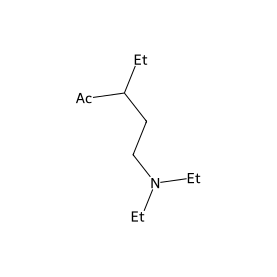 CCC(CCN(CC)CC)C(C)=O